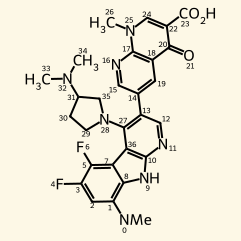 CNc1cc(F)c(F)c2c1[nH]c1ncc(-c3cnc4c(c3)c(=O)c(C(=O)O)cn4C)c(N3CCC(N(C)C)C3)c12